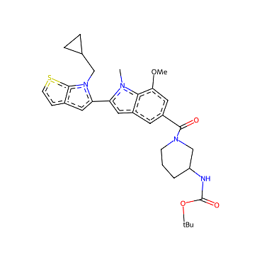 COc1cc(C(=O)N2CCCC(NC(=O)OC(C)(C)C)C2)cc2cc(-c3cc4ccsc4n3CC3CC3)n(C)c12